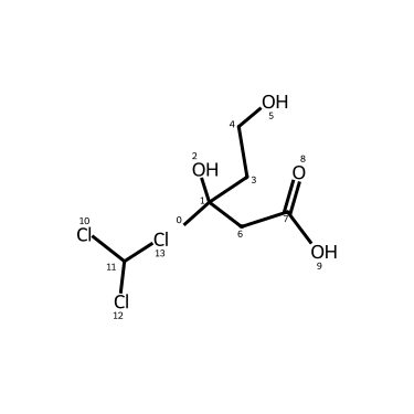 CC(O)(CCO)CC(=O)O.ClC(Cl)Cl